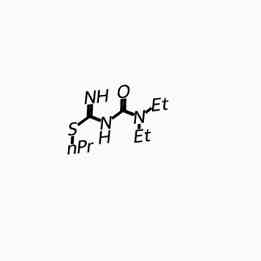 CCCSC(=N)NC(=O)N(CC)CC